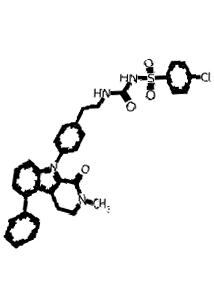 CN1CCc2c(n(-c3ccc(CCNC(=O)NS(=O)(=O)c4ccc(Cl)cc4)cc3)c3cccc(-c4ccccc4)c23)C1=O